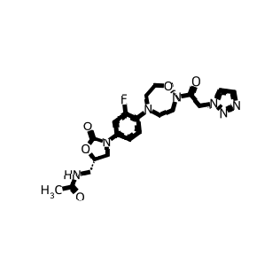 CC(=O)NC[C@H]1CN(c2ccc(N3CCON(C(=O)Cn4ccnn4)CC3)c(F)c2)C(=O)O1